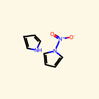 O=[N+]([O-])n1cccc1.c1cc[nH]c1